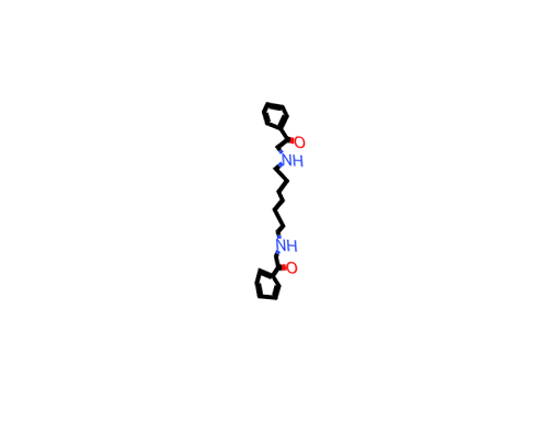 O=C(CNCCCCCCCNCC(=O)c1ccccc1)c1ccccc1